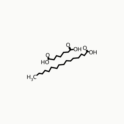 CCCCCCCCCCCCCCCC(=O)O.O=C(O)CCCCCC(=O)O